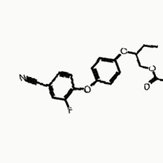 C=CC(=O)OCC(CC)Oc1ccc(Oc2ccc(C#N)cc2F)cc1